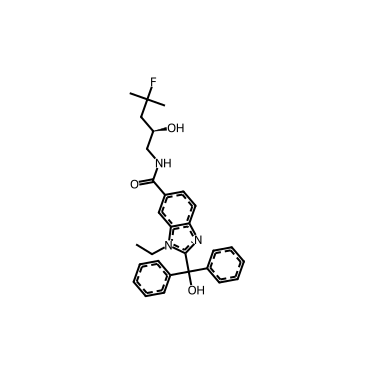 CCn1c(C(O)(c2ccccc2)c2ccccc2)nc2ccc(C(=O)NC[C@H](O)CC(C)(C)F)cc21